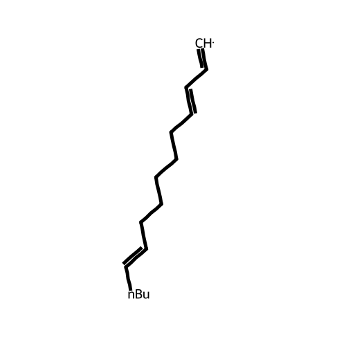 [CH]=CC=CCCCCCC=CCCCC